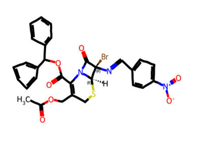 CC(=O)OCC1=C(C(=O)OC(c2ccccc2)c2ccccc2)N2C(=O)[C@](Br)(N=Cc3ccc([N+](=O)[O-])cc3)[C@H]2SC1